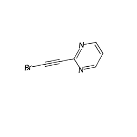 BrC#Cc1ncccn1